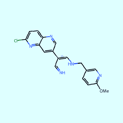 COc1ccc(CN/C=C(\C=N)c2cnc3ccc(Cl)nc3c2)cn1